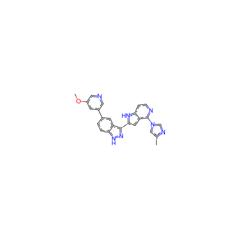 COc1cncc(-c2ccc3[nH]nc(-c4cc5c(-n6cnc(C)c6)nccc5[nH]4)c3c2)c1